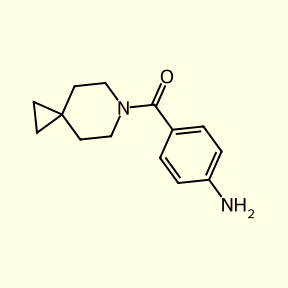 Nc1ccc(C(=O)N2CCC3(CC2)CC3)cc1